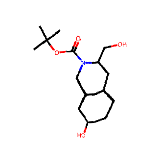 CC(C)(C)OC(=O)N1CC2CC(O)CCC2CC1CO